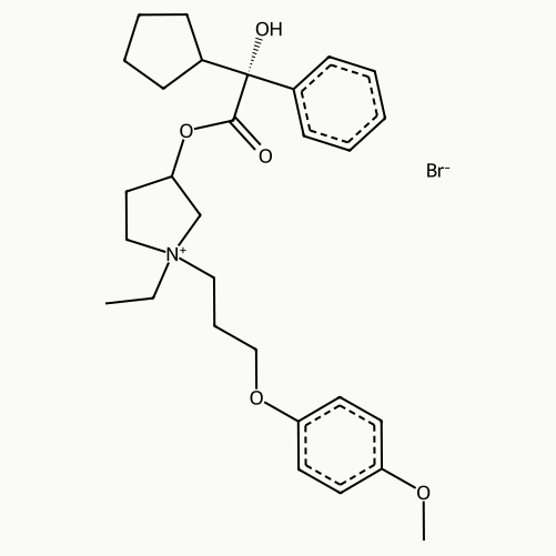 CC[N+]1(CCCOc2ccc(OC)cc2)CCC(OC(=O)[C@](O)(c2ccccc2)C2CCCC2)C1.[Br-]